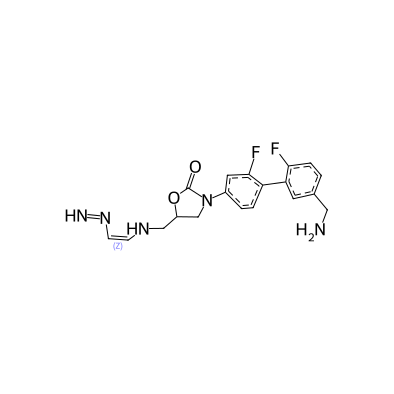 N=N/C=C\NCC1CN(c2ccc(-c3cc(CN)ccc3F)c(F)c2)C(=O)O1